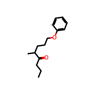 CCCC(=O)C(C)CCCOc1[c]cccc1